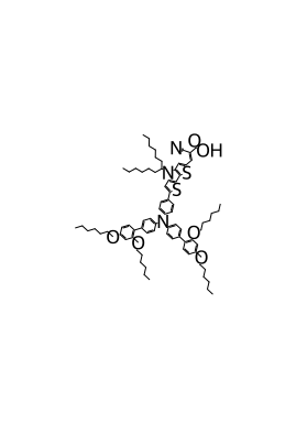 CCCCCCOc1ccc(-c2ccc(N(c3ccc(-c4cc5c(s4)c4sc(/C=C(\C#N)C(=O)O)cc4n5C(CCCCCC)CCCCCC)cc3)c3ccc(-c4ccc(OCCCCCC)cc4OCCCCCC)cc3)cc2)c(OCCCCCC)c1